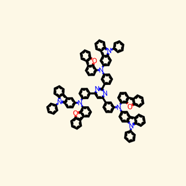 c1ccc(-n2c3ccccc3c3cc(N(c4cccc(-c5cc(-c6cccc(N(c7ccc8c(c7)c7ccccc7n8-c7ccccc7)c7cccc8c7oc7ccccc78)c6)nc(-c6cccc(N(c7ccc8c(c7)c7ccccc7n8-c7ccccc7)c7cccc8c7oc7ccccc78)c6)n5)c4)c4cccc5c4oc4ccccc45)ccc32)cc1